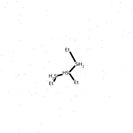 CC[SiH2][SiH](CC)[SiH2]CC